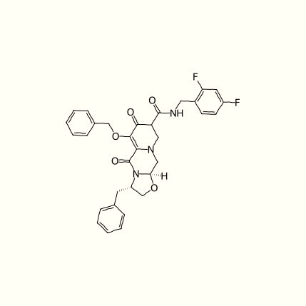 O=C(NCc1ccc(F)cc1F)C1CN2C[C@H]3OC[C@H](Cc4ccccc4)N3C(=O)C2=C(OCc2ccccc2)C1=O